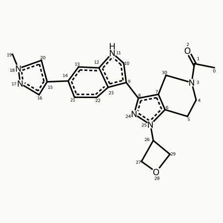 CC(=O)N1CCc2c(c(-c3c[nH]c4cc(-c5cnn(C)c5)ccc34)nn2C2COC2)C1